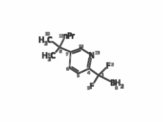 BC(F)(F)c1ccc(C(C)(C)CCC)cn1